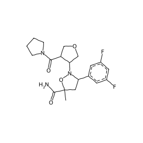 CC1(C(N)=O)CC(c2cc(F)cc(F)c2)N(C2COCC2C(=O)N2CCCC2)O1